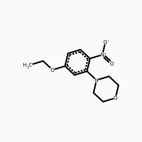 CCOc1ccc([N+](=O)[O-])c(N2CCOCC2)c1